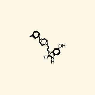 Cc1cccc(N2CCN(CCn3c(=O)[nH]c4ccc(O)cc43)CC2)c1